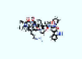 CC[C@H](C)[C@@H]([C@@H](CC(=O)N1CCC[C@H]1[C@H](OC)[C@@H](C)C(=O)N[C@@H](Cc1c[nH]c2ccccc12)C(=O)N1CCCCO1)OC)N(C)[C@H](C(=O)NC(=O)[C@H](C(C)C)N(C)CCCCCCN)C(C)C